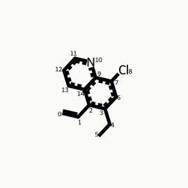 C=Cc1c(CC)cc(Cl)c2ncccc12